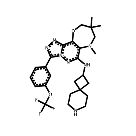 CN1CC(C)(C)COc2c1c(NC1CC3(CCNCC3)C1)nn1c(-c3cccc(OC(F)(F)F)c3)nnc21